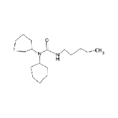 CCCCCNC(=O)N(C1CCCCC1)C1CCCCC1